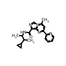 Cc1cc(-c2ccccn2)nc2c(C(=O)NC(C)C(C)C3CC3)ncn12